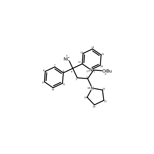 CC(C)COCC(CC(C#N)(c1ccccc1)c1ccccn1)N1CCCC1